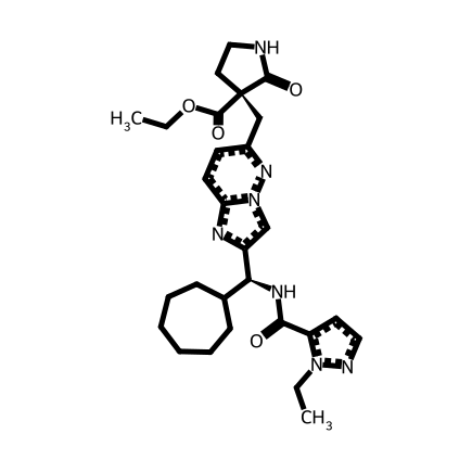 CCOC(=O)[C@]1(Cc2ccc3nc([C@@H](NC(=O)c4ccnn4CC)C4CCCCCC4)cn3n2)CCNC1=O